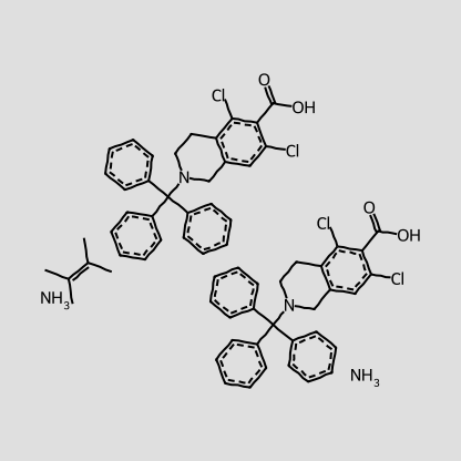 CC(C)=C(C)C.N.N.O=C(O)c1c(Cl)cc2c(c1Cl)CCN(C(c1ccccc1)(c1ccccc1)c1ccccc1)C2.O=C(O)c1c(Cl)cc2c(c1Cl)CCN(C(c1ccccc1)(c1ccccc1)c1ccccc1)C2